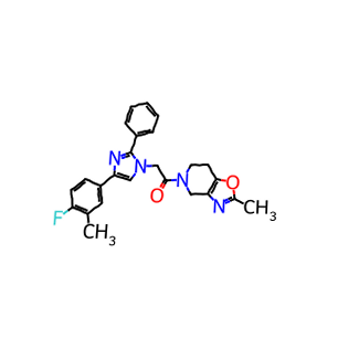 Cc1nc2c(o1)CCN(C(=O)Cn1cc(-c3ccc(F)c(C)c3)nc1-c1ccccc1)C2